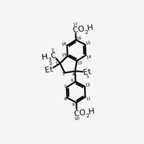 CCC1(C)CC(CC)(c2ccc(C(=O)O)cc2)c2ccc(C(=O)O)cc21